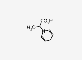 CC(C(=O)O)N1C=CCC=C1